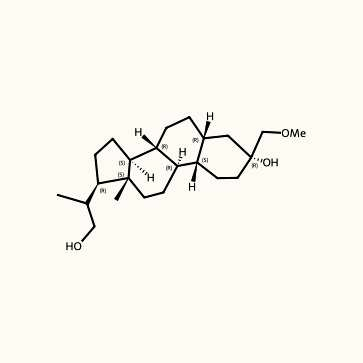 COC[C@@]1(O)CC[C@H]2[C@H](CC[C@@H]3[C@@H]2CC[C@]2(C)[C@@H](C(C)CO)CC[C@@H]32)C1